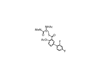 CNC(=O)[C@H](CSC(=O)c1cc(-c2ccc(F)cc2F)ccc1OC(C)=O)NC(C)=O